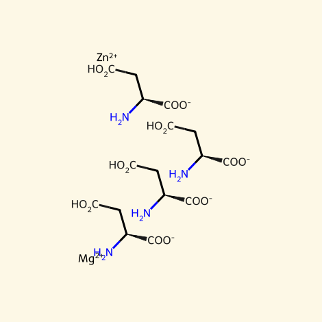 N[C@@H](CC(=O)O)C(=O)[O-].N[C@@H](CC(=O)O)C(=O)[O-].N[C@@H](CC(=O)O)C(=O)[O-].N[C@@H](CC(=O)O)C(=O)[O-].[Mg+2].[Zn+2]